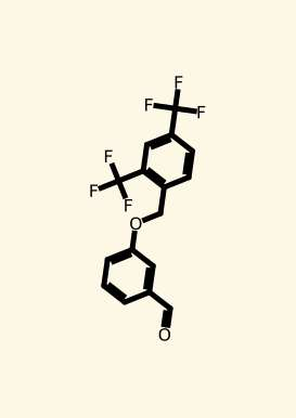 O=Cc1cccc(OCc2ccc(C(F)(F)F)cc2C(F)(F)F)c1